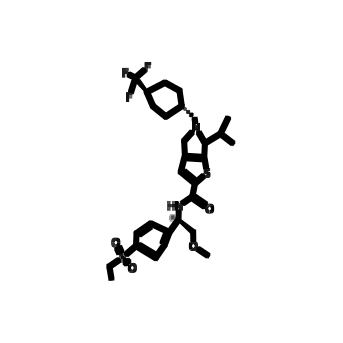 CCS(=O)(=O)c1ccc([C@H](COC)NC(=O)c2cc3c(s2)C(C(C)C)N(C[C@H]2CC[C@H](C(F)(F)F)CC2)C3)cc1